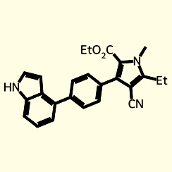 CCOC(=O)c1c(-c2ccc(-c3cccc4[nH]ccc34)cc2)c(C#N)c(CC)n1C